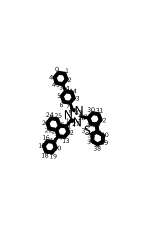 c1ccc(-c2ccc(-c3nc(-c4ccc(-c5ccccc5)c5ccccc45)nc(-c4cccc5c4sc4ccccc45)n3)cc2)cc1